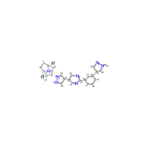 CN1[C@H]2CC[C@@H]1C(F)[C@@H](n1cc(-c3cnc(-c4cccc(-c5cnn(C)c5)c4)nc3)cn1)C2